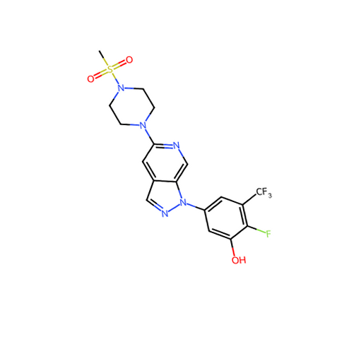 CS(=O)(=O)N1CCN(c2cc3cnn(-c4cc(O)c(F)c(C(F)(F)F)c4)c3cn2)CC1